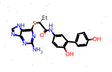 CC[C@@H](Sc1nc(N)nc2nc[nH]c12)C(=O)Nc1ccc(O)c(-c2ccc(O)cc2)c1